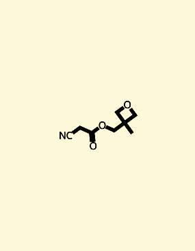 CC1(COC(=O)CC#N)COC1